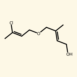 CC(Cl)=CCOCC(C)=CCO